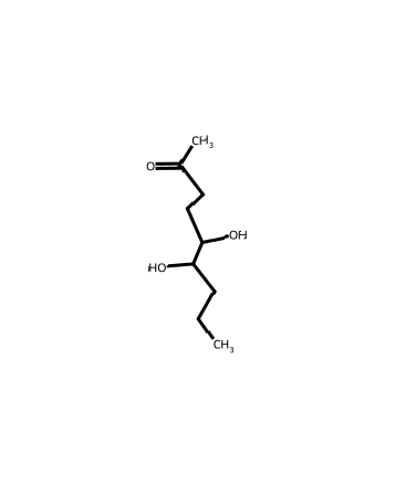 CCCC(O)C(O)CCC(C)=O